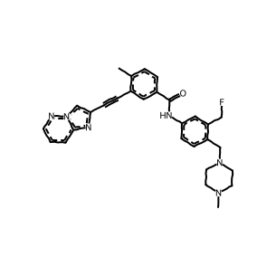 Cc1ccc(C(=O)Nc2ccc(CN3CCN(C)CC3)c(CF)c2)cc1C#Cc1cn2ncccc2n1